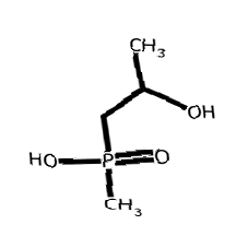 CC(O)CP(C)(=O)O